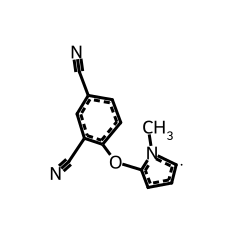 Cn1[c]ccc1Oc1ccc(C#N)cc1C#N